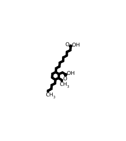 CCCCCC1CCC(CCCCCCCCC(=O)O)C(CC(=O)O)C1CC